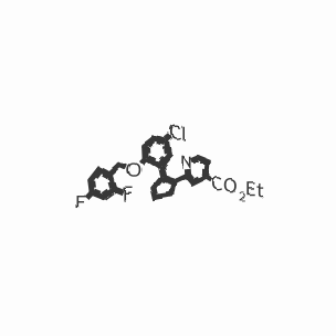 CCOC(=O)c1ccnc(C2=C(c3cc(Cl)ccc3OCc3ccc(F)cc3F)CCC2)c1